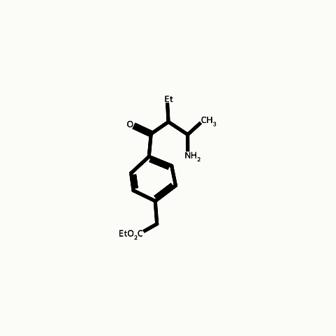 CCOC(=O)Cc1ccc(C(=O)C(CC)C(C)N)cc1